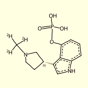 [2H]C([2H])([2H])N1CC[C@@H](c2c[nH]c3cccc(OP(=O)(O)O)c23)C1